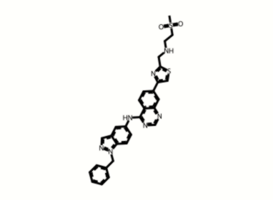 CS(=O)(=O)CCNCc1nc(-c2ccc3c(Nc4ccc5c(cnn5Cc5ccccc5)c4)ncnc3c2)cs1